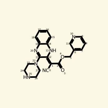 N#CC(C(=O)OCc1cccnc1)=C1Nc2ccccc2N=C1N1CCNCC1